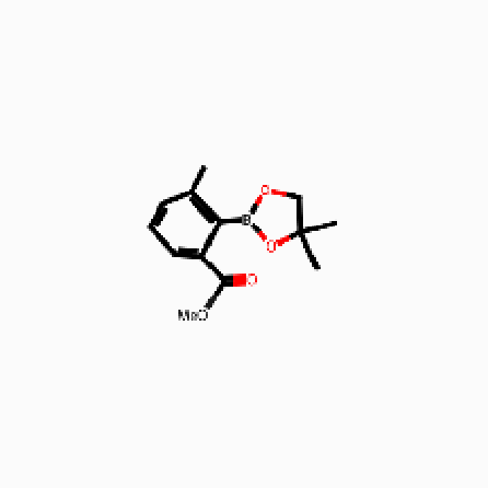 COC(=O)c1cccc(C)c1B1OCC(C)(C)O1